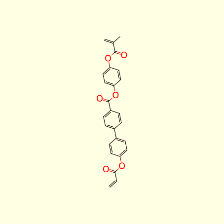 C=CC(=O)Oc1ccc(-c2ccc(C(=O)Oc3ccc(OC(=O)C(=C)C)cc3)cc2)cc1